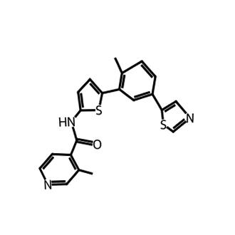 Cc1cnccc1C(=O)Nc1ccc(-c2cc(-c3cncs3)ccc2C)s1